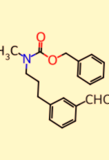 CN(CCCc1cccc(C=O)c1)C(=O)OCc1ccccc1